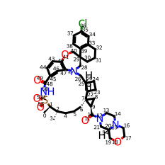 C[C@@H]1[C@@H](C)CCC[C@@]2(C[C@H]2C(=O)N2CCN3CCOC[C@H]3C2)[C@@H]2CC[C@H]2CN2C[C@@]3(CCCc4cc(Cl)ccc43)COc3ccc(cc32)C(=O)NS1(=O)=O